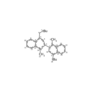 Cc1c(-c2cc(CC(C)(C)C)c3ccccc3[n+]2C)cc(C(C)(C)C)c2ccccc12